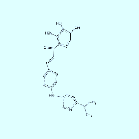 CN(C)c1ncc(Nc2ccc(C=CC(=O)c3ccc(O)c(O)c3O)cc2)cn1